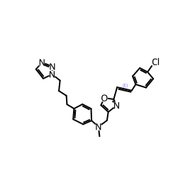 CN(Cc1coc(/C=C/c2ccc(Cl)cc2)n1)c1ccc(CCCCn2ccnn2)cc1